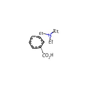 CCN(CC)CC.O=C(O)c1ccccc1